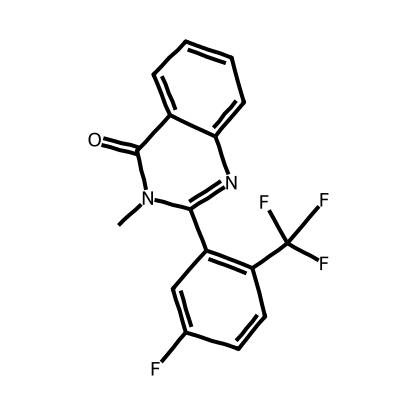 Cn1c(-c2cc(F)ccc2C(F)(F)F)nc2ccccc2c1=O